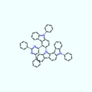 c1ccc(-c2cc(-c3c(-n4c5ccccc5c5ccc6c(c7ccccc7n6-c6ccccc6)c54)ccc4c3c3ccccc3n4-c3ccccc3)nc(-c3ccccc3)n2)cc1